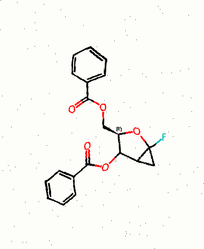 O=C(OC[C@H]1OC2(F)CC2C1OC(=O)c1ccccc1)c1ccccc1